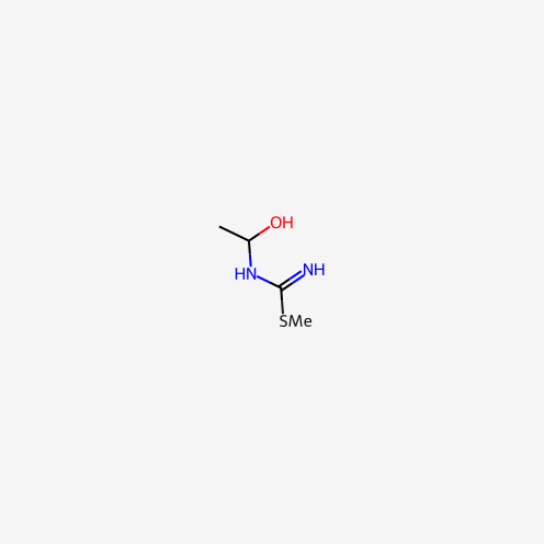 CSC(=N)NC(C)O